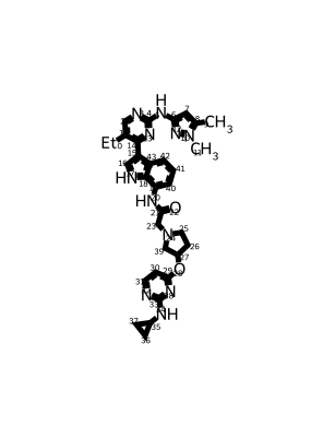 CCc1cnc(Nc2cc(C)n(C)n2)nc1-c1c[nH]c2c(NC(=O)CN3CCC(Oc4ccnc(NC5CC5)n4)C3)cccc12